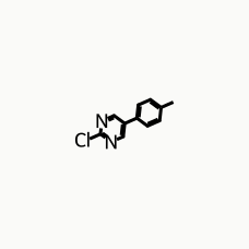 Cc1ccc(-c2cnc(Cl)nc2)cc1